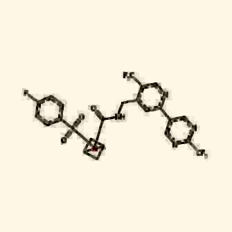 O=C(NCc1cc(-c2cnc(C(F)(F)F)nc2)ncc1C(F)(F)F)C1C2CC(C2)N1S(=O)(=O)c1ccc(F)cc1